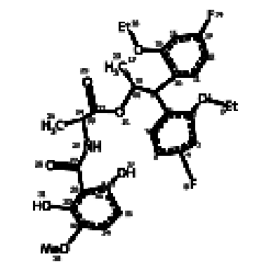 CCOc1cc(F)ccc1C(c1ccc(F)cc1OCC)[C@H](C)OC(=O)[C@H](C)NC(=O)c1c(O)c(OC)cc[n+]1O